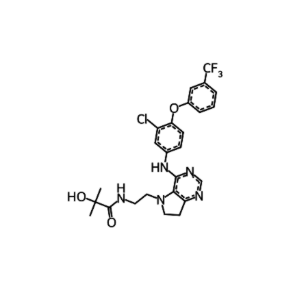 CC(C)(O)C(=O)NCCN1CCc2ncnc(Nc3ccc(Oc4cccc(C(F)(F)F)c4)c(Cl)c3)c21